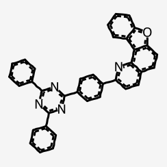 c1ccc(-c2nc(-c3ccccc3)nc(-c3ccc(-c4ccc5ccc6oc7ccccc7c6c5n4)cc3)n2)cc1